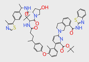 Cc1ncsc1-c1ccc(C(C)NC(=O)[C@@H]2C[C@@H](O)CN2C(=O)C(NC(=O)CCC(C)c2ccc(Oc3cccc(-c4ccc(N5CCc6cccc(C(=O)Nc7nc8ccccc8s7)c6C5)nc4C(=O)OC(C)(C)C)c3C)cc2)C(C)(C)C)cc1